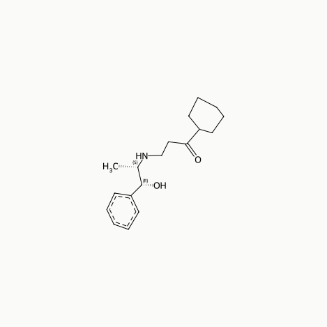 C[C@H](NCCC(=O)C1CCCCC1)[C@H](O)c1ccccc1